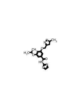 CC(C)Oc1cc(OCC2=NOC(C)C2)cc(C(=O)Nc2nccs2)c1